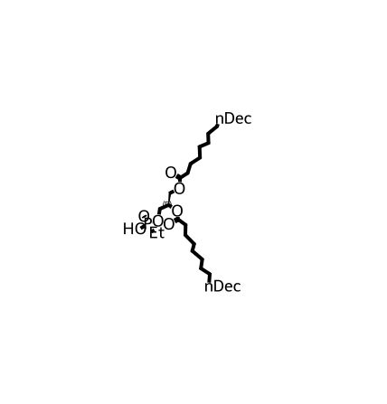 CCCCCCCCCCCCCCCCCC(=O)OC[C@H](COP(=O)(O)CC)OC(=O)CCCCCCCCCCCCCCCCC